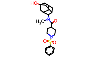 CN(C(=O)C1CCN(S(=O)(=O)c2ccccc2)CC1)C1C2CC3CC1CC(O)(C3)C2